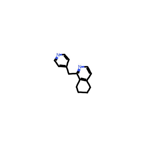 c1cc(Cc2nccc3c2CCCC3)ccn1